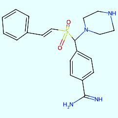 N=C(N)c1ccc(C(N2CCNCC2)S(=O)(=O)C=Cc2ccccc2)cc1